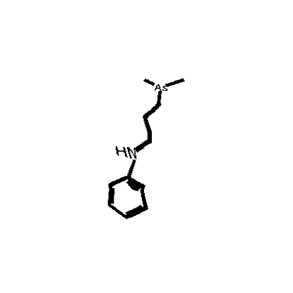 C[As](C)CCCNc1ccccc1